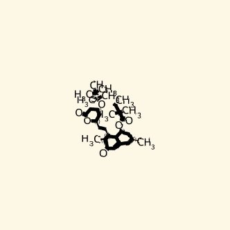 CCC(C)(C)C(=O)O[C@H]1C[C@H](C)CC2=CC(=O)[C@@H](C)[C@@H](CC[C@@H]3C[C@@H](O[Si](C)(C)C(C)(C)C)CC(=O)O3)C21